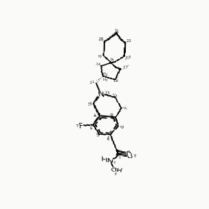 O=C(NO)c1cc(F)c2c(c1)CCN(C[C@H]1CCC3(CCCCC3)C1)C2